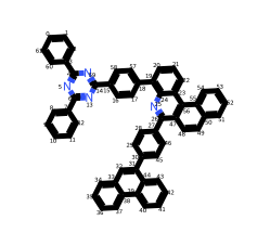 c1ccc(-c2nc(-c3ccccc3)nc(-c3ccc(-c4cccc5c4nc(-c4ccc(-c6cc7ccccc7c7ccccc67)cc4)c4ccc6ccccc6c45)cc3)n2)cc1